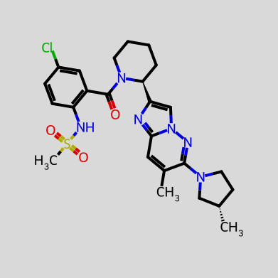 Cc1cc2nc([C@@H]3CCCCN3C(=O)c3cc(Cl)ccc3NS(C)(=O)=O)cn2nc1N1CC[C@H](C)C1